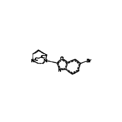 Brc1ccc2nc(N3CCN4CCC3CC4)oc2c1